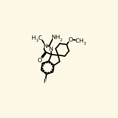 COC1CCC2(CC1)Cc1cc(F)ccc1C21N=C(N)N(C)CC1=O